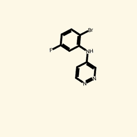 Fc1ccc(Br)c(Nc2ccnnc2)c1